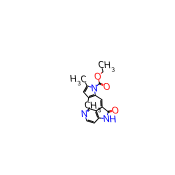 CCOC(=O)n1c(C)cc(C)c1C=C1C(=O)Nc2ccncc21